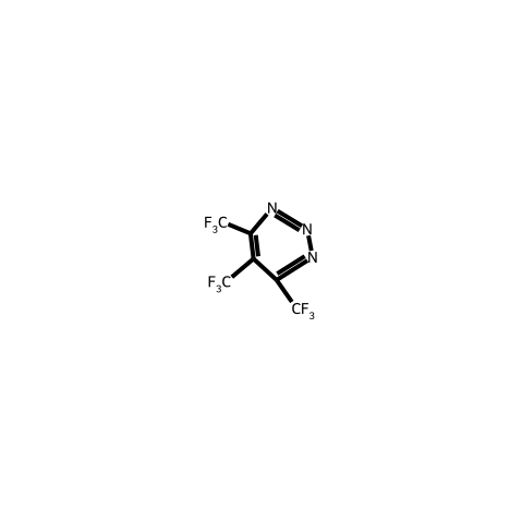 FC(F)(F)c1nnnc(C(F)(F)F)c1C(F)(F)F